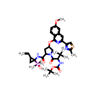 C=CC1CC1(NC(=O)C1CC(Oc2nc(-c3csc(C)n3)cc3cc(OC)ccc23)CN1C(=O)C(NC(=O)OC(C)(C)C)C(C)(C)C)P(C)(C)=O